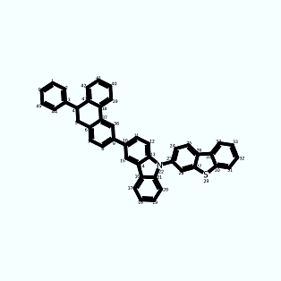 c1ccc(C2Cc3ccc(-c4ccc5c(c4)c4ccccc4n5-c4ccc5c(c4)sc4ccccc45)cc3-c3ccccc32)cc1